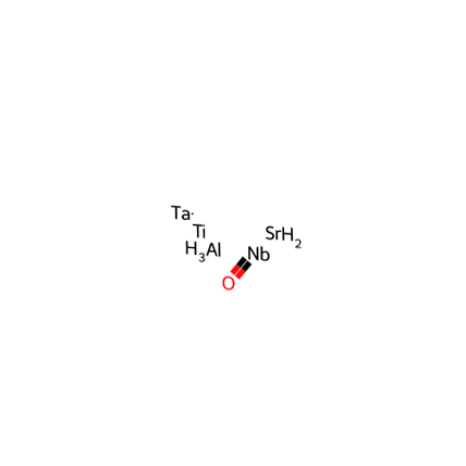 [AlH3].[O]=[Nb].[SrH2].[Ta].[Ti]